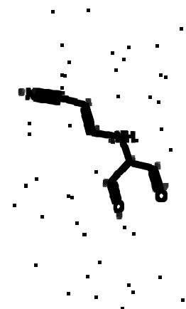 N#CC=CNC(C=O)C=O